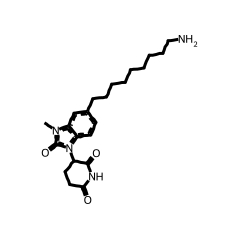 Cn1c(=O)n(C2CCC(=O)NC2=O)c2ccc(CCCCCCCCCN)cc21